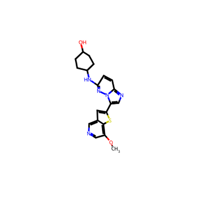 COc1cncc2cc(-c3cnc4ccc(NC5CCC(O)CC5)nn34)sc12